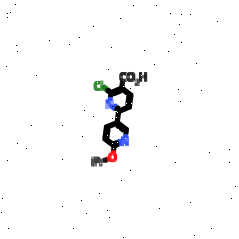 CC(C)Oc1ccc(-c2ccc(C(=O)O)c(Cl)n2)cn1